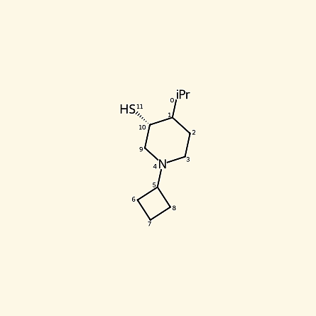 CC(C)C1CCN(C2CCC2)C[C@@H]1S